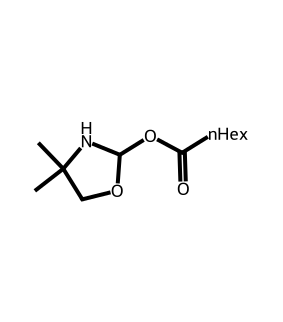 CCCCCCC(=O)OC1NC(C)(C)CO1